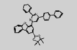 CC1(C)OB(c2cc(-c3cc(-c4ccc(-c5ccccc5)cc4)nc(C4=CCCC=C4)n3)c3oc4ccccc4c3c2)OC1(C)C